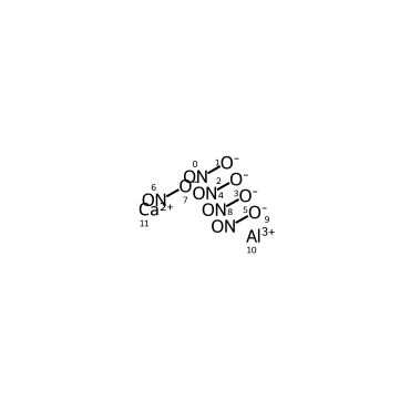 O=N[O-].O=N[O-].O=N[O-].O=N[O-].O=N[O-].[Al+3].[Ca+2]